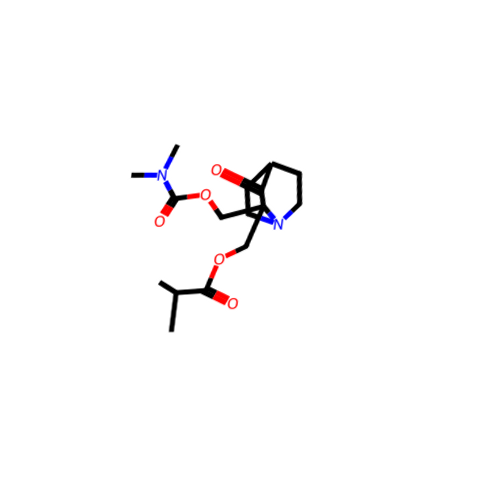 CC(C)C(=O)OCC1(COC(=O)N(C)C)C(=O)C2CCN1CC2